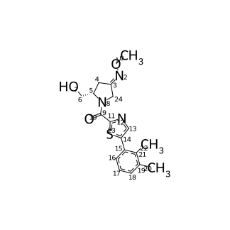 CO/N=C1\C[C@@H](CO)N(C(=O)c2ncc(-c3cccc(C)c3C)s2)C1